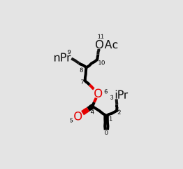 C=C(CC(C)C)C(=O)OCC(CCC)COC(C)=O